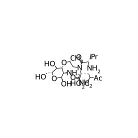 CC(=O)C(C[C@H](C(N)=O)N(CC(C)O[C@@H]1[C@@H](N)[C@@H](O)O[C@H](CO)[C@H]1O)C(=O)[C@@H](N)C(C)C)C(=O)O